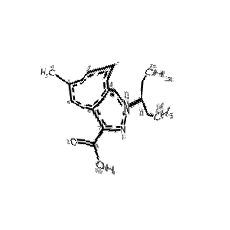 Cc1ccc2c(c1)c(C(=O)O)nn2C(C)C